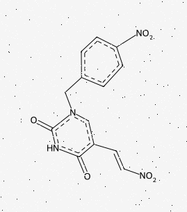 O=c1[nH]c(=O)n(Cc2ccc([N+](=O)[O-])cc2)cc1/C=C/[N+](=O)[O-]